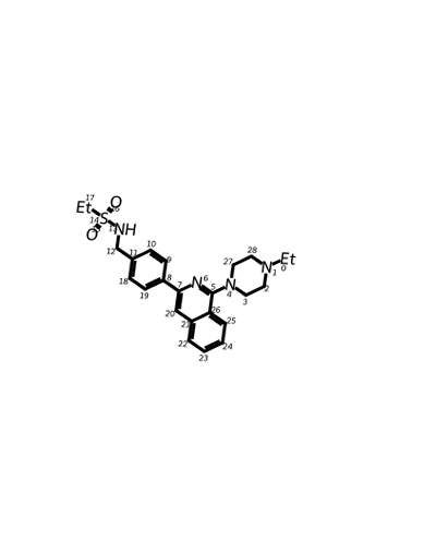 CCN1CCN(c2nc(-c3ccc(CNS(=O)(=O)CC)cc3)cc3ccccc23)CC1